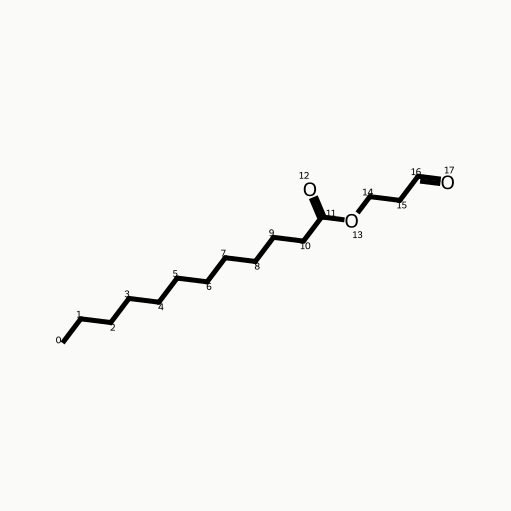 CCCCCCCCCCCC(=O)OCCC=O